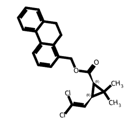 CC1(C)[C@H](C(=O)OCc2cccc3c2CCc2ccccc2-3)[C@@H]1C=C(Cl)Cl